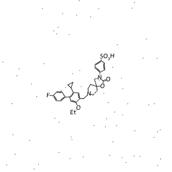 CCOc1cc(-c2ccc(F)cc2)c(C2CC2)cc1CN1CCC2(CC1)CN(c1ccc(S(=O)(=O)O)cc1)C(=O)O2